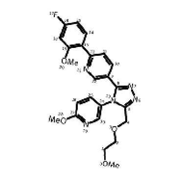 COCCOCc1nnc(-c2ccc(-c3ccc(F)cc3OC)nc2)n1-c1ccc(OC)nc1